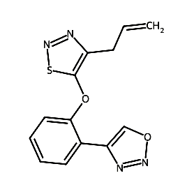 C=CCc1nnsc1Oc1ccccc1-c1conn1